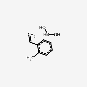 C=Cc1ccccc1C.OBO